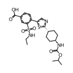 CCNS(=O)(=O)c1cc(C(=O)O)ccc1-c1cnc([C@H]2CC[C@H](NC(=O)OC(C)C)CC2)s1